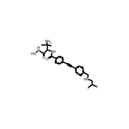 CC(C)(N)C(NC(=O)c1ccc(C#Cc2ccc(CNCC(F)I)cc2)cc1)C(=O)NO